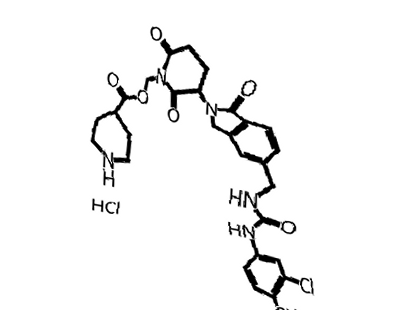 Cc1ccc(NC(=O)NCc2ccc3c(c2)CN(C2CCC(=O)N(COC(=O)C4CCNCC4)C2=O)C3=O)cc1Cl.Cl